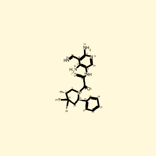 C[C@@H]1CN(C(=O)C(=O)Nc2cnc(N)c(C=N)c2N)[C@@H](c2ccccc2)CC1(F)F